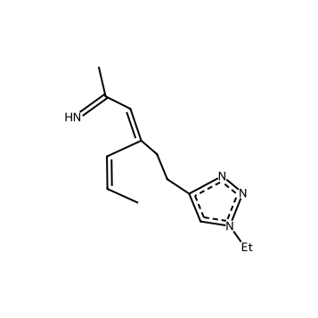 C/C=C\C(=C/C(C)=N)CCc1cn(CC)nn1